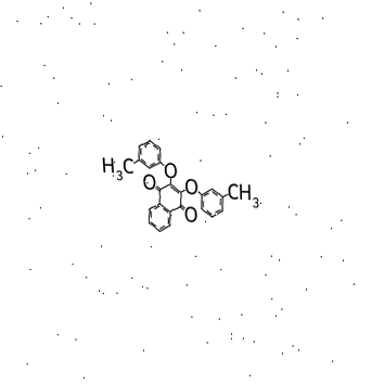 Cc1cccc(OC2=C(Oc3cccc(C)c3)C(=O)c3ccccc3C2=O)c1